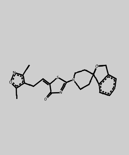 Cc1noc(C)c1C/C=C1/SC(N2CCC3(CC2)OCc2ccccc23)=NC1=O